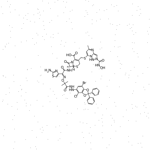 CC1=NC2=CN(C(=O)NO)NN2C(SCC2=C(C(=O)O)N3C(=O)[C@@H](NC(=O)C(=NOC(C)(C)C(=O)NNc4cc(Br)c5c(c4Cl)OC(c4ccccc4)(c4ccccc4)O5)c4csc(N)n4)[C@H]3SC2)=C1